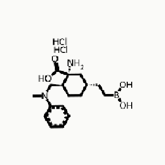 CN(C[C@@H]1CC[C@@H](CCB(O)O)C[C@]1(N)C(=O)O)c1ccccc1.Cl.Cl